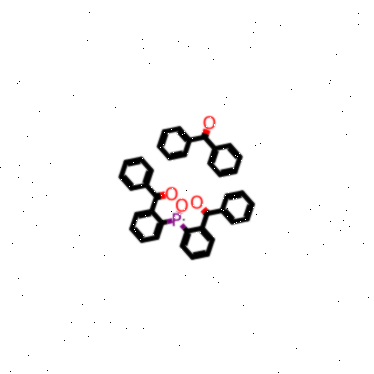 O=C(c1ccccc1)c1ccccc1.O=C(c1ccccc1)c1ccccc1[P](=O)c1ccccc1C(=O)c1ccccc1